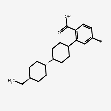 CC[C@H]1CC[C@H](C2CCC(c3cc(F)ccc3C(=O)O)CC2)CC1